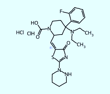 CCN(CC)C1(c2ccccc2F)CCN(C(=O)O)C(/C=C2/SC(N3CCCCN3)=NC2=O)C1.Cl.Cl